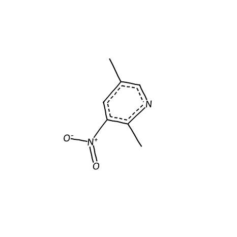 Cc1cnc(C)c([N+](=O)[O-])c1